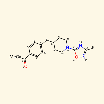 COC(=O)c1ccc(CC2CCN(c3nc(C)no3)CC2)cc1